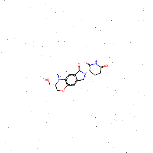 CN1c2cc3c(cc2OC[C@@H]1CO)CN([C@H]1CCC(=O)NC1=O)C3=O